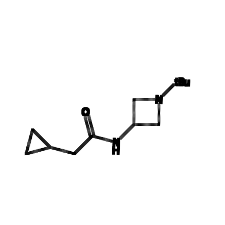 CC(C)(C)N1CC(NC(=O)CC2CC2)C1